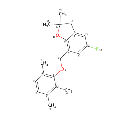 Cc1ccc(C)c(OCc2cc(F)cc3c2OC(C)(C)C3)c1C